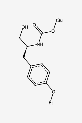 CCOc1ccc(C[C@@H](CO)NC(=O)OC(C)(C)C)cc1